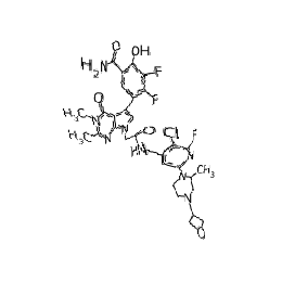 Cc1nc2c(c(-c3cc(C(N)=O)c(O)c(F)c3F)cn2CC(=O)Nc2cc(N3CCN(C4COC4)C[C@@H]3C)nc(F)c2Cl)c(=O)n1C